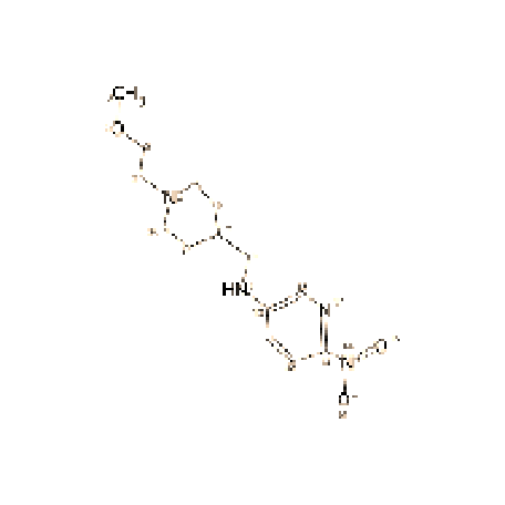 COCCN1CCC(CNc2ccc([N+](=O)[O-])nc2)CC1